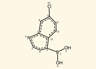 OB(O)c1ccnc2cc(Cl)ccc12